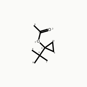 CC(=O)OC1(C(C)(C)C)CC1